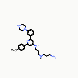 COc1ccc(-c2cc(NCCCN(C)CCCN)cc(-c3cccc(N4CCNCC4)c3)n2)cc1